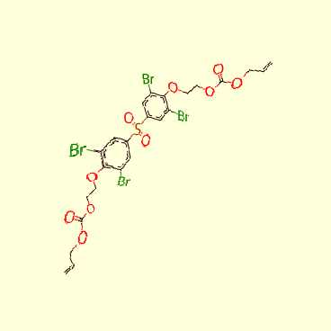 C=CCOC(=O)OCCOc1c(Br)cc(S(=O)(=O)c2cc(Br)c(OCCOC(=O)OCC=C)c(Br)c2)cc1Br